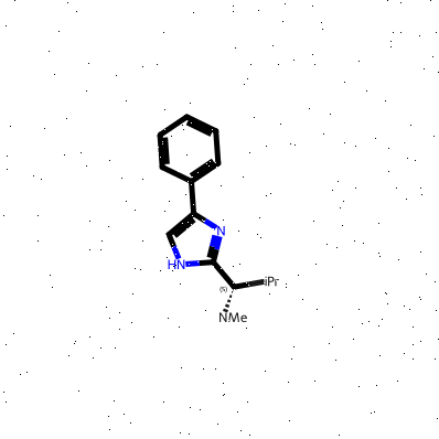 CN[C@H](c1nc(-c2ccccc2)c[nH]1)C(C)C